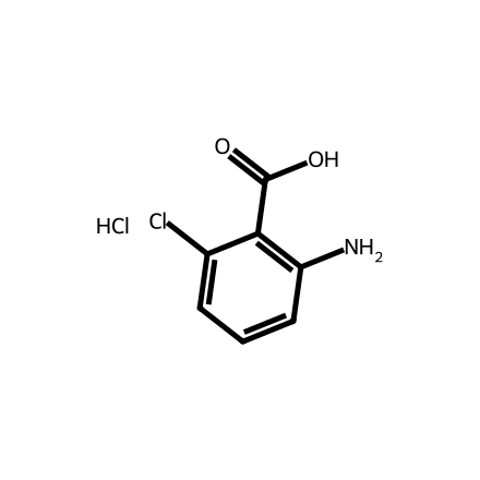 Cl.Nc1cccc(Cl)c1C(=O)O